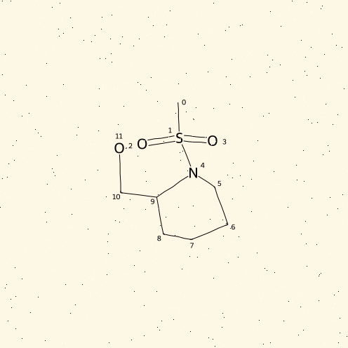 CS(=O)(=O)N1CCCCC1C[O]